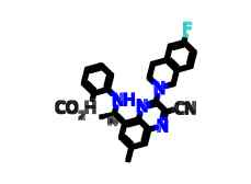 Cc1cc([C@@H](C)Nc2ccccc2C(=O)O)c2nc(N3CCc4cc(F)ccc4C3)c(C#N)nc2c1